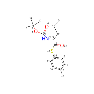 CCCC(NC(=O)OC(C)(C)C)C(=O)Sc1ccc(C)cc1